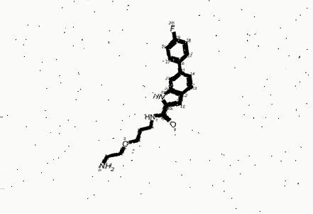 NCCOCCCNC(=O)c1cc2ccc(-c3ccc(F)cc3)cc2[nH]1